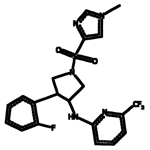 Cn1cnc(S(=O)(=O)N2CC(Nc3cccc(C(F)(F)F)n3)C(c3ccccc3F)C2)c1